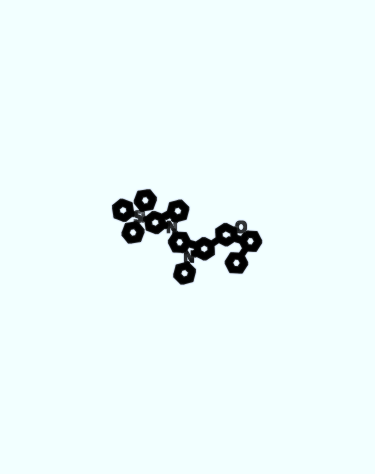 c1ccc(-c2cccc3oc4ccc(-c5ccc6c(c5)c5cc(-n7c8ccccc8c8cc([Si](c9ccccc9)(c9ccccc9)c9ccccc9)ccc87)ccc5n6-c5ccccc5)cc4c23)cc1